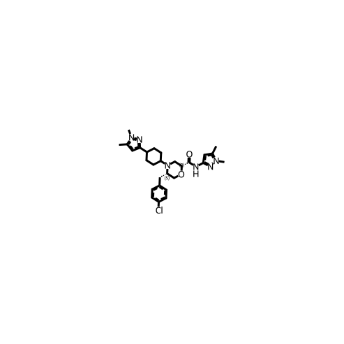 Cc1cc(NC(=O)[C@H]2CN(C3CCC(c4cc(C)n(C)n4)CC3)[C@@H](Cc3ccc(Cl)cc3)CO2)nn1C